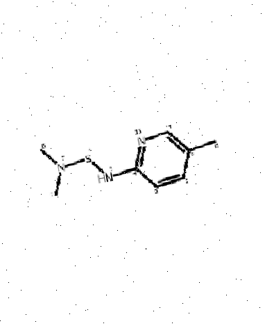 Cc1ccc(NSN(C)C)nc1